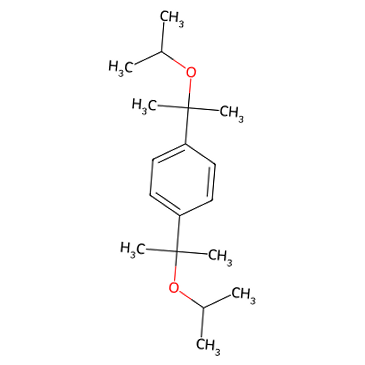 CC(C)OC(C)(C)c1ccc(C(C)(C)OC(C)C)cc1